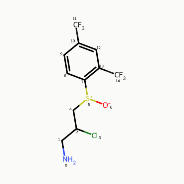 NCC(Cl)C[S+]([O-])c1ccc(C(F)(F)F)cc1C(F)(F)F